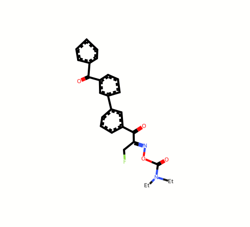 CCN(CC)C(=O)O/N=C(\CF)C(=O)c1cccc(-c2cccc(C(=O)c3ccccc3)c2)c1